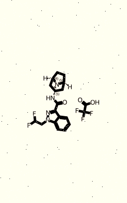 CN1[C@@H]2CC[C@H]1C[C@H](NC(=O)c1nn(CC(F)F)c3ccccc13)C2.O=C(O)C(F)(F)F